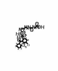 COc1ccccc1C(=O)c1cc(C)ccc1NC(=O)Nc1ncc(CCNC(=O)NCC(=O)O)s1